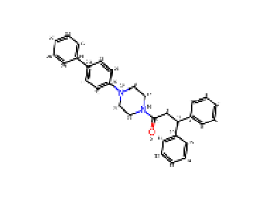 O=C(CC(c1ccccc1)c1ccccc1)N1CCN(c2ccc(-c3ccccc3)cc2)CC1